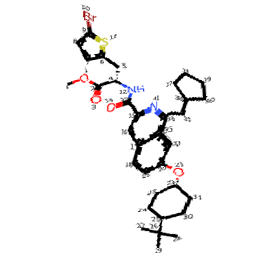 COC(=O)[C@H](Cc1ccc(Br)s1)NC(=O)c1cc2ccc(O[C@H]3CC[C@H](C(C)(C)C)CC3)cc2c(CC2CCCC2)n1